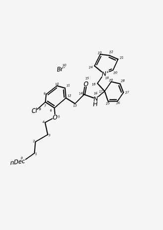 CCCCCCCCCCCCCCOc1c(Cl)cccc1CC(=O)NC1(C[n+]2ccccc2)C=CC=CC1.[Br-]